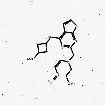 C=N/C=C\N(CCOC)Cc1nc(NC2CC(OC)C2)c2ccsc2n1